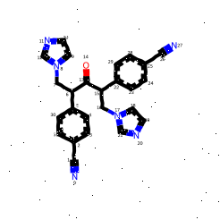 N#Cc1ccc(C(Cn2ccnc2)C(=O)C(Cn2ccnc2)c2ccc(C#N)cc2)cc1